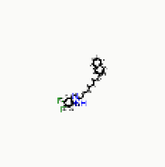 Fc1cc2nc(CCCCCCCc3ccc4ccccc4c3)[nH]c2cc1F